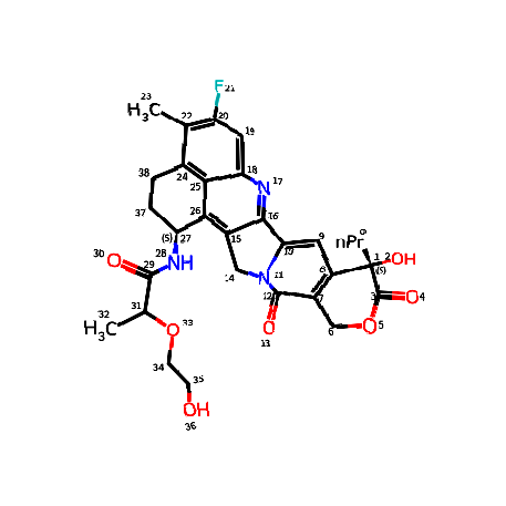 CCC[C@@]1(O)C(=O)OCc2c1cc1n(c2=O)Cc2c-1nc1cc(F)c(C)c3c1c2[C@@H](NC(=O)C(C)OCCO)CC3